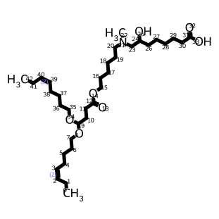 CC/C=C\CCCCOC(CCC(=O)OCCCCCCN(C)CC(O)CCCCCC(=O)O)OCCCC/C=C\CC